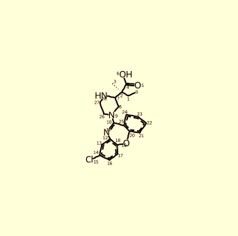 CC[C@](C)(C(=O)O)C1CN(C2=Nc3cc(Cl)ccc3Oc3ccccc32)CCN1